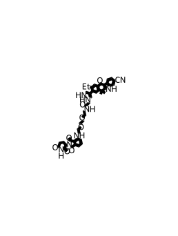 CCc1cc2c(cc1/C(C=N)=C/NCC(=O)NCCOCCOCCNc1cccc3c1C(=O)N(C1CCC(=O)NC1=O)C3=O)C(C)(C)c1[nH]c3cc(C#N)ccc3c1C2=O